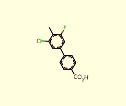 Cc1c(F)cc(-c2ccc(C(=O)O)cc2)cc1Cl